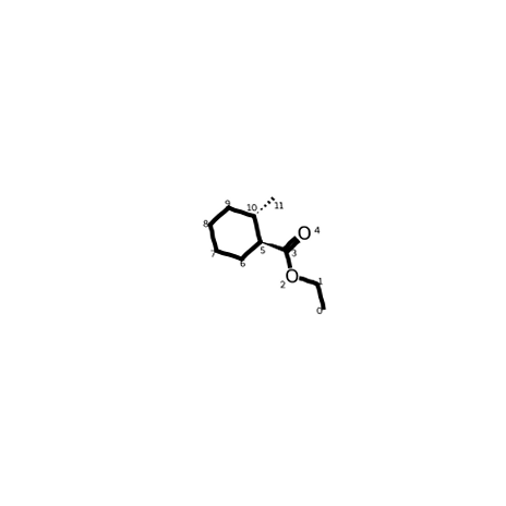 CCOC(=O)[C@H]1CCCC[C@@H]1C